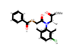 COC(=O)[C@H](C)N(C(=O)CSC(=O)c1ccccc1)c1c(C)ccc(Cl)c1C